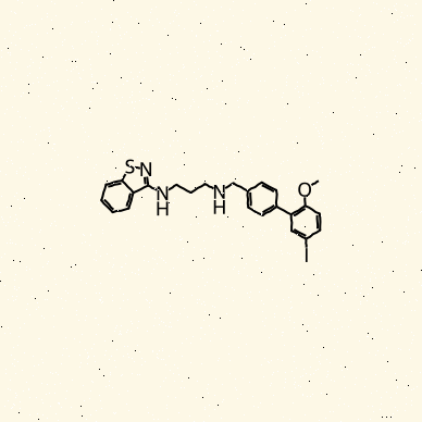 COc1ccc(I)cc1-c1ccc(CNCCCNc2nsc3ccccc23)cc1